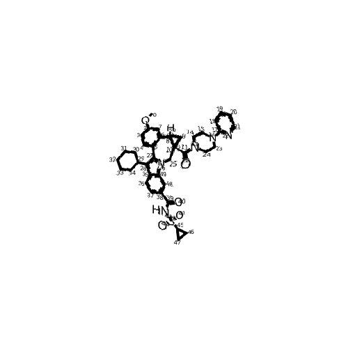 COc1ccc2c(c1)[C@@H]1C[C@]1(C(=O)N1CCN(c3ccccn3)CC1)Cn1c-2c(C2CCCCC2)c2ccc(C(=O)NS(=O)(=O)C3CC3)cc21